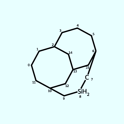 C1CC2CCCC3C[SiH2]CC(C1)CC(C2)C3